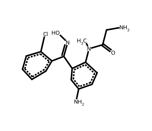 CN(C(=O)CN)c1ccc(N)cc1C(=NO)c1ccccc1Cl